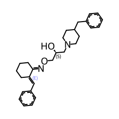 O[C@H](CON=C1CCCC/C1=C\c1ccccc1)CN1CCC(Cc2ccccc2)CC1